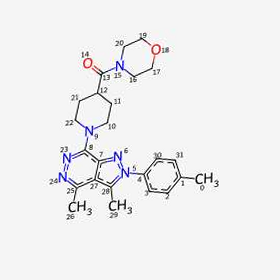 Cc1ccc(-n2nc3c(N4CCC(C(=O)N5CCOCC5)CC4)nnc(C)c3c2C)cc1